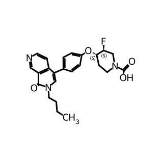 CCCCn1cc(-c2ccc(O[C@H]3CCN(C(=O)O)C[C@@H]3F)cc2)c2ccncc2c1=O